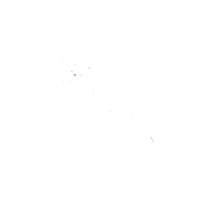 C/C=C/CCCCCCCCCCCCCC(=O)N1CCCCCC1